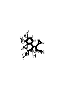 CO/N=C/c1[nH]c(C#N)c(C2CC2)c1-c1ccc(OC)c(OC)c1OC